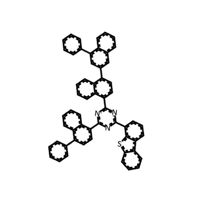 c1ccc(-c2cc(-c3ccc(-c4nc(-c5ccc(-c6ccccc6)c6ccccc56)nc(-c5cccc6c5sc5ccccc56)n4)c4ccccc34)cc3ccccc23)cc1